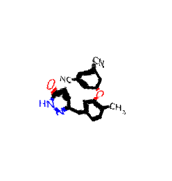 Cc1ccc(Cc2ccc(=O)[nH]n2)cc1Oc1cc(C#N)cc(C#N)c1